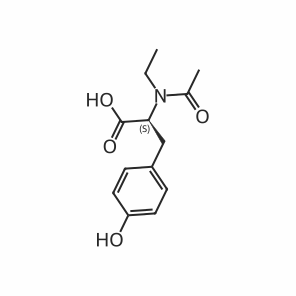 CCN(C(C)=O)[C@@H](Cc1ccc(O)cc1)C(=O)O